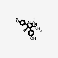 COc1ccc(-c2nc3[nH]nc(N)c3c(-c3ccc(O)cc3)c2C#N)cc1